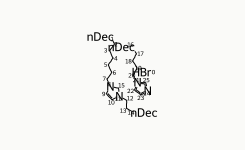 Br.CCCCCCCCCCCCCCCCN1C=CN(CCCCCCCCCCCC)C1.CCCCCCCCCCCCCCn1ccnc1